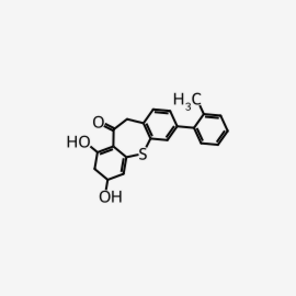 Cc1ccccc1-c1ccc2c(c1)SC1=CC(O)CC(O)=C1C(=O)C2